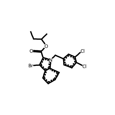 CCC(C)OC(=O)c1c(Br)c2ccccc2n1Cc1ccc(Cl)c(Cl)c1